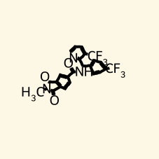 CN1C(=O)c2ccc(C(=O)NC(c3ccc(C(F)(F)F)cc3)c3ncccc3C(F)(F)F)cc2C1=O